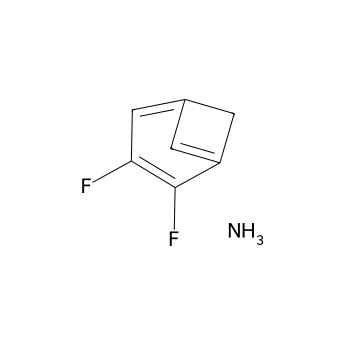 Fc1cc2cc(c1F)C2.N